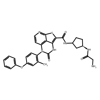 Cc1cc(Oc2ccccc2)ccc1N1C(=O)Nc2c(C(=O)NC3CC[C@@H](NC(=O)CN)C3)sc3nccc1c23